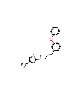 CC(C)(CCCc1cccc(Oc2ccccc2)c1)c1cc(C(F)(F)F)cs1